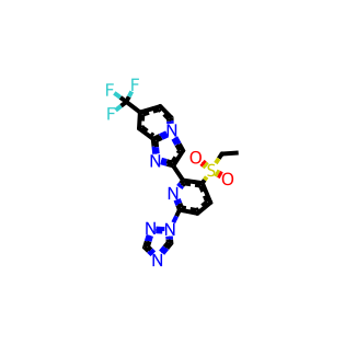 CCS(=O)(=O)c1ccc(-n2cncn2)nc1-c1cn2ccc(C(F)(F)F)cc2n1